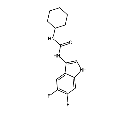 O=C(Nc1c[nH]c2cc(F)c(F)cc12)NC1CCCCC1